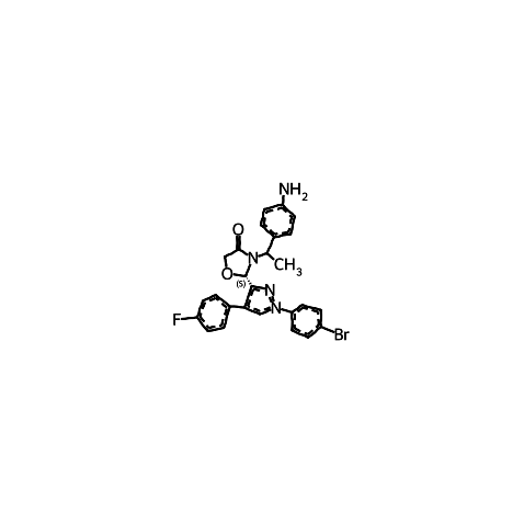 CC(c1ccc(N)cc1)N1C(=O)CO[C@H]1c1nn(-c2ccc(Br)cc2)cc1-c1ccc(F)cc1